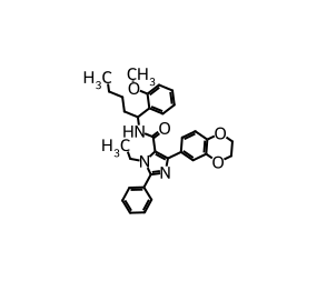 CCCCC(NC(=O)c1c(-c2ccc3c(c2)OCCO3)nc(-c2ccccc2)n1CC)c1ccccc1OC